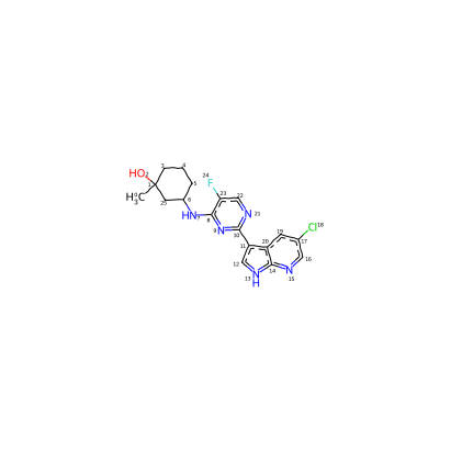 CC1(O)CCCC(Nc2nc(-c3c[nH]c4ncc(Cl)cc34)ncc2F)C1